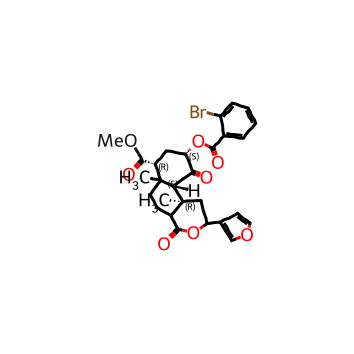 COC(=O)[C@@H]1C[C@H](OC(=O)c2ccccc2Br)C(=O)[C@H]2C1(C)CCC1C(=O)OC(c3ccoc3)C[C@@]12C